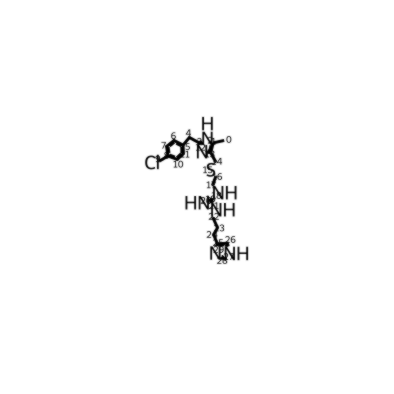 Cc1[nH]c(Cc2ccc(Cl)cc2)nc1CSCCNC(=N)NCCCc1c[nH]cn1